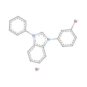 Brc1cccc(-n2c[n+](-c3ccccc3)c3ccccc32)c1.[Br-]